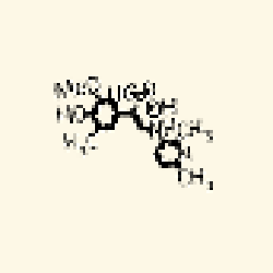 COc1cc(C(=CNc2ccc(C)nc2C)P(=O)(O)O)cc(C)c1O